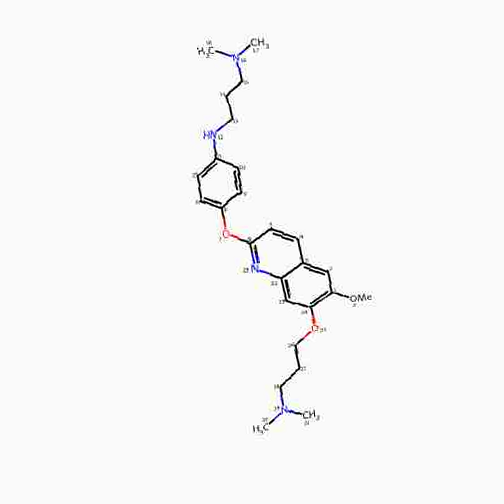 COc1cc2ccc(Oc3ccc(NCCCN(C)C)cc3)nc2cc1OCCCN(C)C